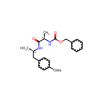 COc1ccc(C[C@H](NC(=O)[C@@H](C)NC(=O)OCc2ccccc2)C(=O)O)cc1